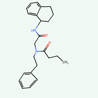 CCCC(=O)N(CCc1ccccc1)CC(=O)NC1CCCc2ccccc21